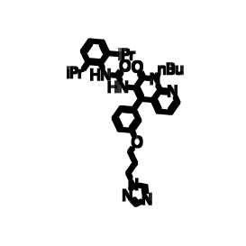 CCCCn1c(=O)c(NC(=O)Nc2c(C(C)C)cccc2C(C)C)c(-c2cccc(OCCCn3cncn3)c2)c2cccnc21